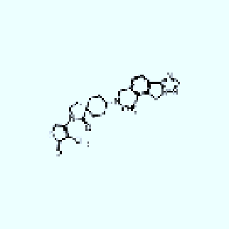 CC1=C(N2CC[C@]3(CC[C@@H](N(C)Cc4ccc5c(c4F)Cn4nnnc4-5)CC3)C2=O)COC1=O